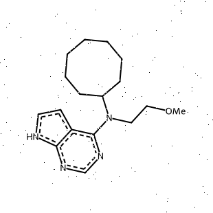 COCCN(c1ncnc2[nH]ccc12)C1CCCCCCC1